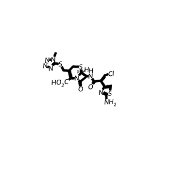 Cn1nnnc1SCC1=C(C(=O)O)N2C(=O)C(NC(=O)C(=CCl)c3csc(N)n3)[C@@H]2SC1